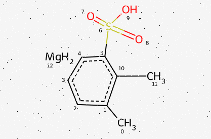 Cc1cccc(S(=O)(=O)O)c1C.[MgH2]